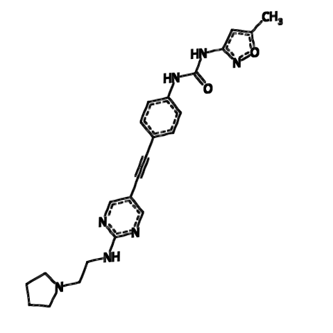 Cc1cc(NC(=O)Nc2ccc(C#Cc3cnc(NCCN4CCCC4)nc3)cc2)no1